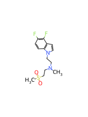 CN(CCn1ccc2c(F)c(F)ccc21)CCS(C)(=O)=O